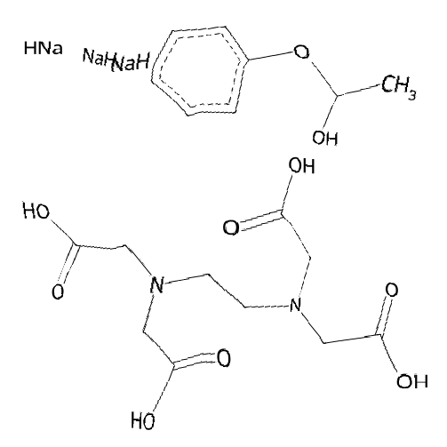 CC(O)Oc1ccccc1.O=C(O)CN(CCN(CC(=O)O)CC(=O)O)CC(=O)O.[NaH].[NaH].[NaH]